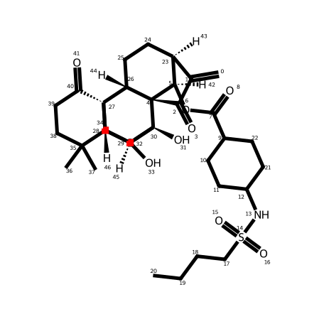 C=C1C(=O)[C@]23[C@H](OC(=O)C4CCC(NS(=O)(=O)CCCC)CC4)[C@H]1CC[C@H]2[C@@]12CO[C@]3(O)[C@@H](O)[C@@H]1C(C)(C)CCC2=O